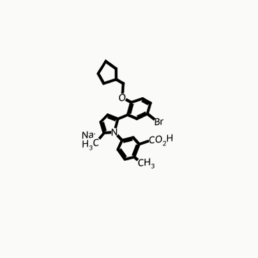 Cc1ccc(-n2c(C)ccc2-c2cc(Br)ccc2OCC2CCCC2)cc1C(=O)O.[Na]